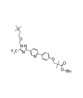 CC(C)(C)OC(=O)C(C)(C)COc1ccc(-c2ccc(-c3nc(C(F)(F)F)n(COCC[Si](C)(C)C)n3)cn2)cc1